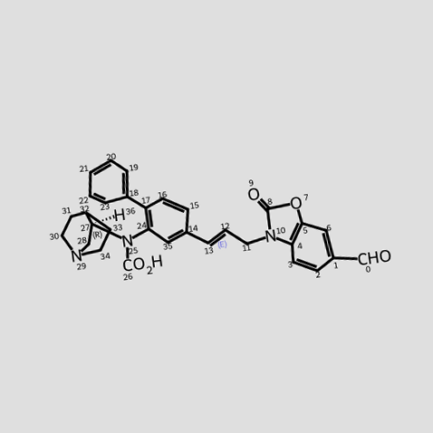 O=Cc1ccc2c(c1)oc(=O)n2C/C=C/c1ccc(-c2ccccc2)c(N(C(=O)O)[C@H]2CN3CCC2CC3)c1